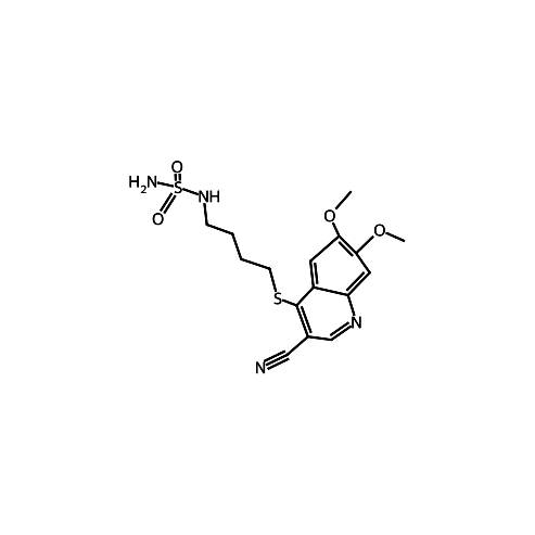 COc1cc2ncc(C#N)c(SCCCCNS(N)(=O)=O)c2cc1OC